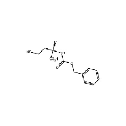 CC[C@@](CCC#N)(NC(=O)OCc1ccccc1)C(=O)O